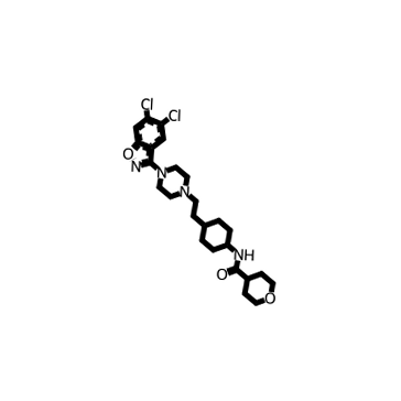 O=C(NC1CCC(CCN2CCN(c3noc4cc(Cl)c(Cl)cc34)CC2)CC1)C1CCOCC1